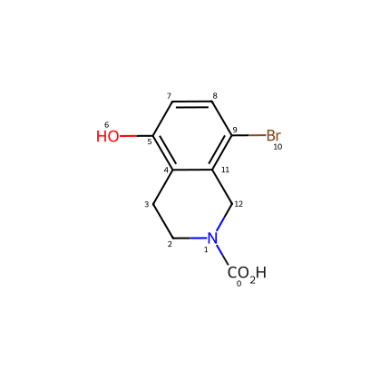 O=C(O)N1CCc2c(O)ccc(Br)c2C1